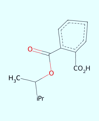 CC(C)C(C)OC(=O)c1ccccc1C(=O)O